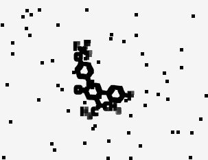 CC(C)c1cc(=O)n(-c2ccc(OC(F)(F)F)cc2)cc1-c1ccc(F)cc1